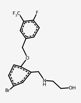 OCCNCc1cc(Br)ccc1OCc1ccc(F)c(C(F)(F)F)c1